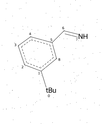 CC(C)(C)c1cccc(C=N)c1